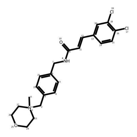 C[N+]1(Cc2ccc(CNC(=O)C=Cc3ccc(Cl)c(Cl)c3)cc2)CCOCC1